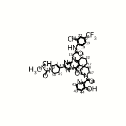 CN(C)C(=O)N1CC=C(c2nc3n(CC(=O)Nc4ccc(C(F)(F)F)cc4Cl)c4c(c(=O)n3n2)C2(CCC4)CCN(C(=O)c3ncccc3O)CC2)CC1